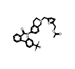 CC(=O)OCc1ccc(CN2CCc3cc(NC(=O)c4ccccc4-c4ccc(C(F)(F)F)cc4)ccc3C2)o1